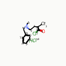 CN(CCC(C(=O)Cl)C(F)(F)F)Cc1ccccc1.Cl